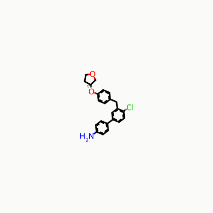 Nc1ccc(-c2ccc(Cl)c(Cc3ccc(O[C@@H]4CCOC4)cc3)c2)cc1